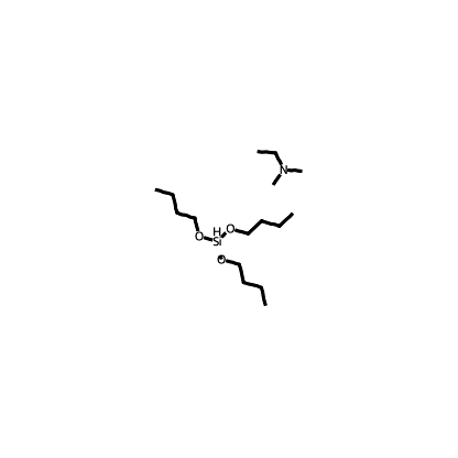 CCCCO[SiH](OCCCC)OCCCC.CCN(C)C